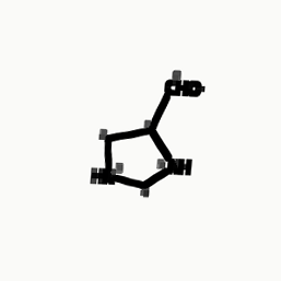 O=[C]C1CNCN1